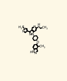 CCNc1cc2c(cn1)c(-c1cnn(C)c1)nn2[C@H]1CC[C@@H](Oc2ccc3[nH]ncc3c2C)CC1